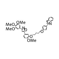 COc1ccc(-c2cc(-c3cc(OC)c(OC)c(OC)c3)no2)cc1OCCCCCOc1ccc(-c2nc3ccccc3s2)cc1